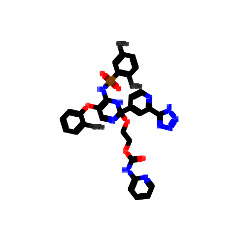 COc1ccc(OC)c(S(=O)(=O)NC2=C(Oc3ccccc3OC)C=NC(OCCOC(=O)Nc3ccccn3)(c3ccnc(-c4nnn[nH]4)c3)N2)c1